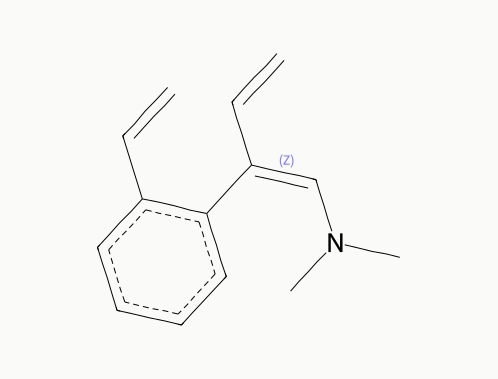 C=C/C(=C/N(C)C)c1ccccc1C=C